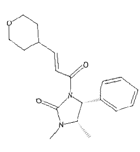 C[C@H]1[C@@H](c2ccccc2)N(C(=O)/C=C/C2CCOCC2)C(=O)N1C